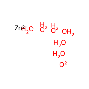 O.O.O.O.O.O.[O-2].[Zn+2]